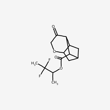 CC(OC(=O)C1C2CC3OCC(=O)C1C3C2)C(C)(F)F